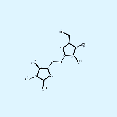 OC[C@@H]1O[C@@H](OC[C@@H]2O[C@@H](O)[C@H](O)[C@H]2O)[C@H](O)[C@H]1O